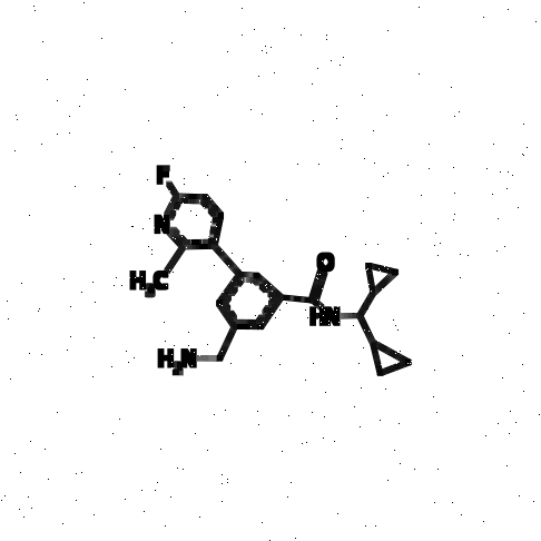 Cc1nc(F)ccc1-c1cc(CN)cc(C(=O)NC(C2CC2)C2CC2)c1